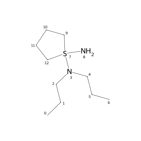 CCCN(CCC)S1(N)CCCC1